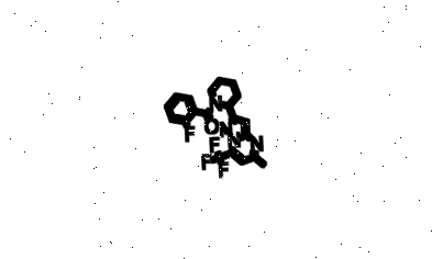 Cc1cc(C(F)(F)F)n2nc(C3CCCCN3C(=O)c3ccccc3F)cc2n1